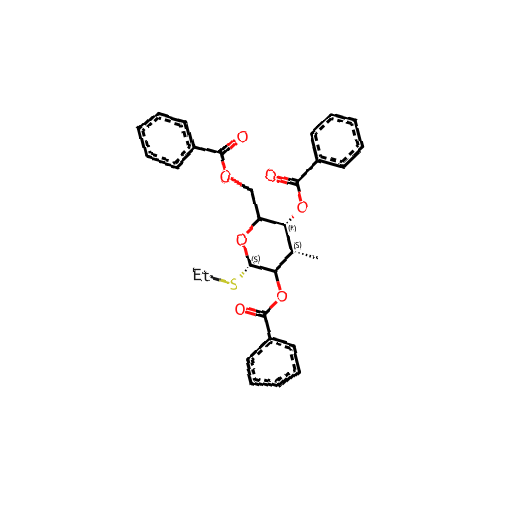 CCS[C@@H]1OC(COC(=O)c2ccccc2)[C@H](OC(=O)c2ccccc2)[C@H](C)C1OC(=O)c1ccccc1